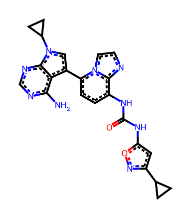 Nc1ncnc2c1c(-c1ccc(NC(=O)Nc3cc(C4CC4)no3)c3nccn13)cn2C1CC1